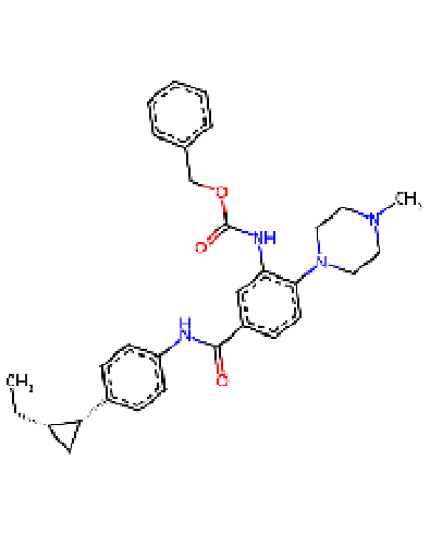 CC[C@H]1C[C@H]1c1ccc(NC(=O)c2ccc(N3CCN(C)CC3)c(NC(=O)OCc3ccccc3)c2)cc1